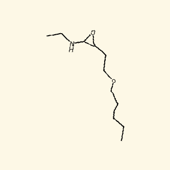 CCCCCOCCC1OC1NCC